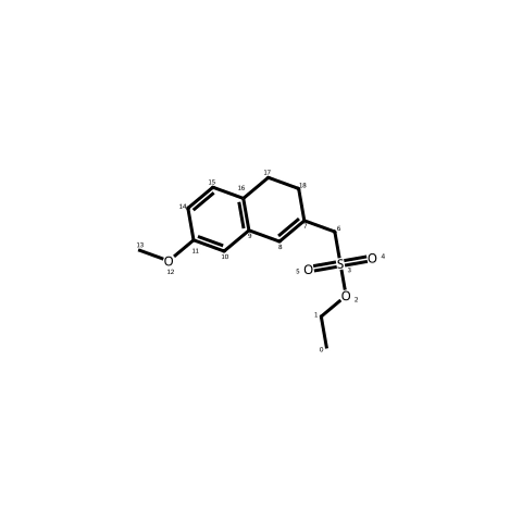 CCOS(=O)(=O)CC1=Cc2cc(OC)ccc2CC1